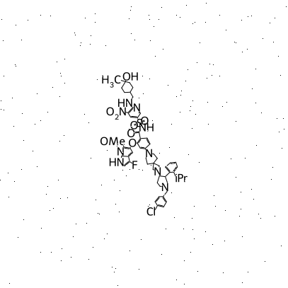 COc1nc2[nH]cc(F)c2cc1Oc1cc(N2CCC3(CC2)CN(C2CCN(Cc4ccc(Cl)cc4)CC2c2ccccc2C(C)C)C3)ccc1C(=O)NS(=O)(=O)c1cnc(NCC2CCC(C)(O)CC2)c([N+](=O)[O-])c1